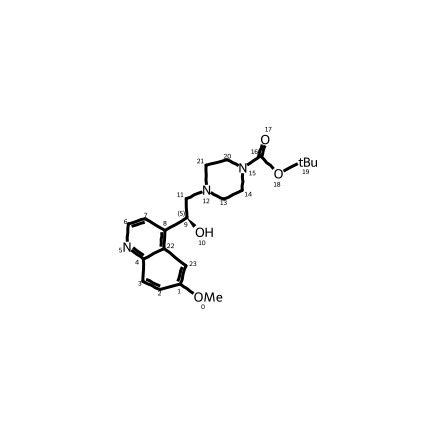 COc1ccc2nccc([C@H](O)CN3CCN(C(=O)OC(C)(C)C)CC3)c2c1